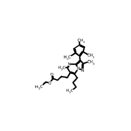 CCCCc1c(CCCC(=O)OCC)c(C)nc2c(-c3c(C)cc(C)cc3C)c(C)nn12